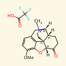 COc1ccc2c3c1O[C@H]1C(=O)CC[C@H]4[C@@H](C2)N(C)CC[C@]314.O=C(O)C(F)(F)F